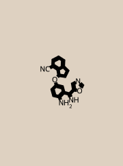 N#Cc1cccc2c1C(Oc1ccc(N)c(C(=N)c3cnco3)c1)CC2